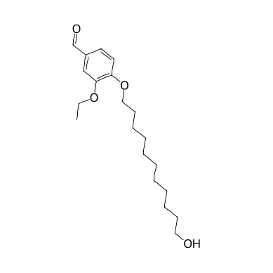 CCOc1cc(C=O)ccc1OCCCCCCCCCCCO